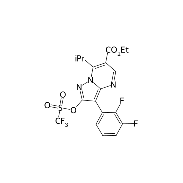 CCOC(=O)c1cnc2c(-c3cccc(F)c3F)c(OS(=O)(=O)C(F)(F)F)nn2c1C(C)C